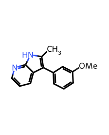 COc1cccc(-c2c(C)[nH]c3ncccc23)c1